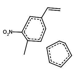 C=Cc1ccc(C)c([N+](=O)[O-])c1.c1ccccc1